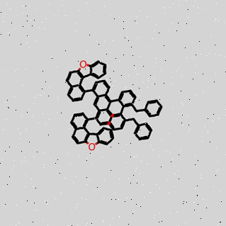 c1ccc(Cc2ccccc2-c2c(Cc3ccccc3)cccc2-c2c3cccc(-c4cccc5ccc6oc7ccccc7c6c45)c3cc3c(-c4cccc5ccc6oc7ccccc7c6c45)cccc23)cc1